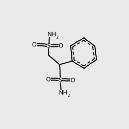 NS(=O)(=O)CC(c1ccccc1)S(N)(=O)=O